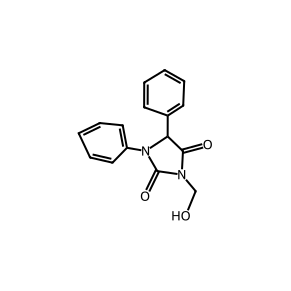 O=C1C(c2ccccc2)N(c2ccccc2)C(=O)N1CO